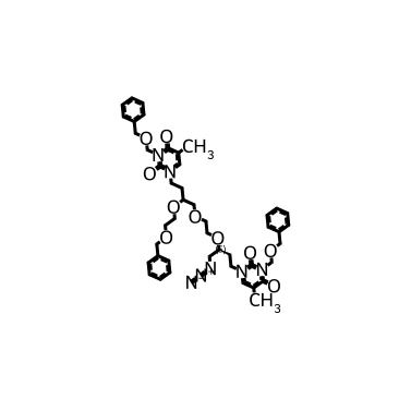 Cc1cn(CCC(COCCO[C@@H](CCn2cc(C)c(=O)n(COCc3ccccc3)c2=O)CN=[N+]=[N-])OCCOCc2ccccc2)c(=O)n(COCc2ccccc2)c1=O